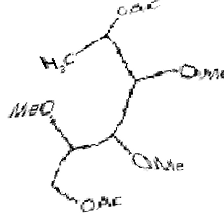 COC(COC(C)=O)C(OC)C(OC)C(C)OC(C)=O